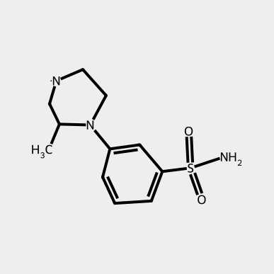 CC1C[N]CCN1c1cccc(S(N)(=O)=O)c1